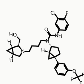 O=C(Nc1ccc(F)c(Cl)c1)N(CCCCN1C[C@@H]2C[C@@H]2[C@H]1CO)[C@@H]1CC[C@]2(c3cccc(OC(F)(F)F)c3)C[C@H]12